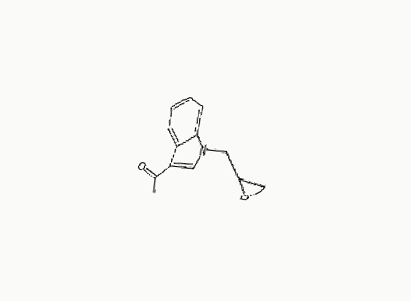 CC(=O)c1cn(CC2CO2)c2ccccc12